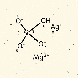 [Ag+].[Mg+2].[O-][Si]([O-])([O-])O